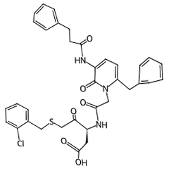 O=C(O)C[C@H](NC(=O)Cn1c(Cc2ccccc2)ccc(NC(=O)CCc2ccccc2)c1=O)C(=O)CSCc1ccccc1Cl